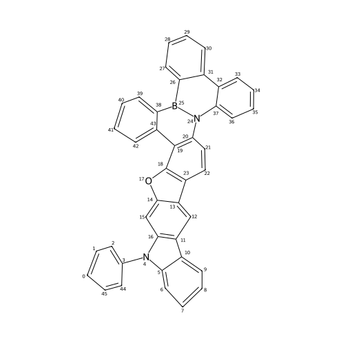 c1ccc(-n2c3ccccc3c3cc4c(cc32)oc2c3c(ccc24)N2B(c4ccccc4-c4ccccc42)c2ccccc2-3)cc1